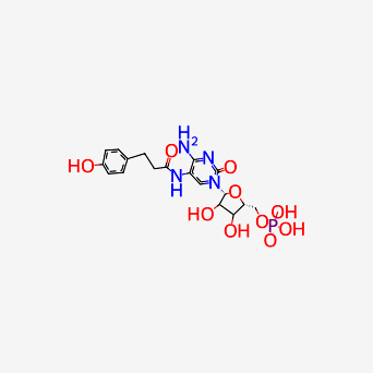 Nc1nc(=O)n([C@@H]2O[C@H](COP(=O)(O)O)C(O)C2O)cc1NC(=O)CCc1ccc(O)cc1